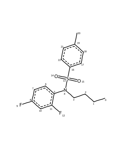 CCCCN(c1ccc(F)cc1F)S(=O)(=O)c1ccc(C)cc1